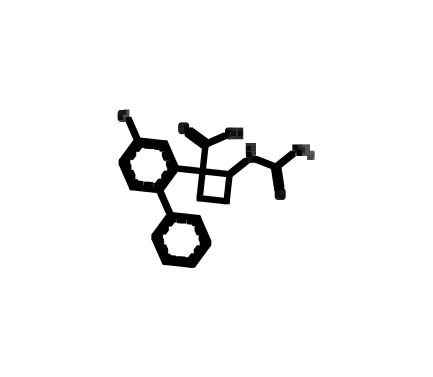 NC(=O)NC1CCC1(C(=O)O)c1cc(Cl)ccc1-c1ccccc1